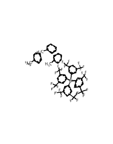 Cc1ccccc1.Cc1ccccc1.Cc1ccccc1.FC(F)(F)c1cc([B-](c2cc(C(F)(F)F)cc(C(F)(F)F)c2)(c2cc(C(F)(F)F)cc(C(F)(F)F)c2)c2cc(C(F)(F)F)cc(C(F)(F)F)c2)cc(C(F)(F)F)c1.[Ag+]